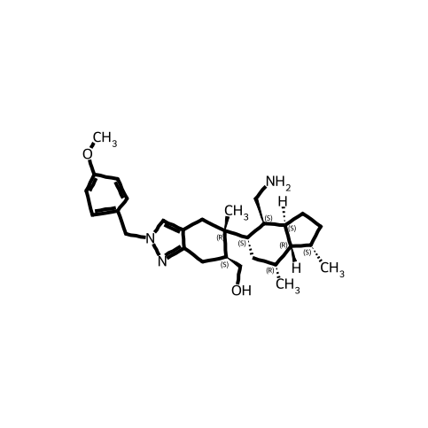 COc1ccc(Cn2cc3c(n2)C[C@H](CO)[C@@](C)([C@H]2C[C@@H](C)[C@@H]4[C@H](CC[C@@H]4C)[C@@H]2CN)C3)cc1